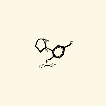 Fc1ccc(F)c([C@H]2CCCN2)c1.SS